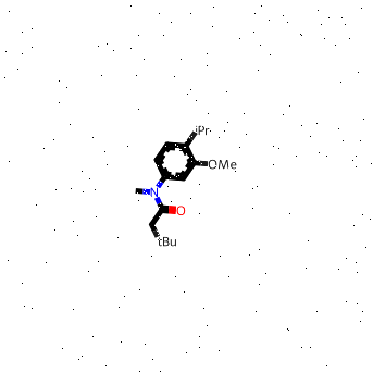 COc1cc(N(C)C(=O)CC(C)(C)C)ccc1C(C)C